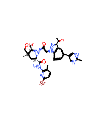 CC(=O)c1nn(CC(=O)N2[C@H](C(=O)Nc3nc(Br)ccc3C)C[C@@](C)(CO)[C@H]2C)c2ccc(-c3cnc(C)nc3)cc12